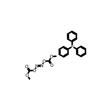 COC(=O)ON=NOC(=O)OC.c1ccc(P(c2ccccc2)c2ccccc2)cc1